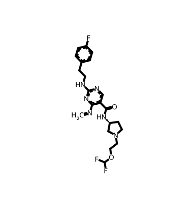 C=Nc1nc(NCCc2ccc(F)cc2)ncc1C(=O)N[C@H]1CCN(CCOC(F)F)C1